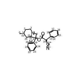 C[C@H]1CCN2C[C@](OC(=O)C(=[N+]=[N-])c3ccccc3)(c3ccccc3)[C@H]2C1